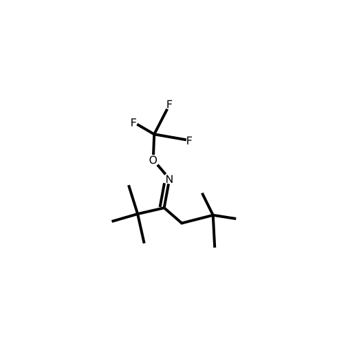 CC(C)(C)CC(=NOC(F)(F)F)C(C)(C)C